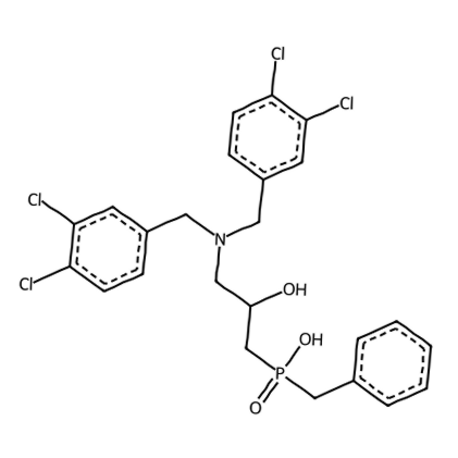 O=P(O)(Cc1ccccc1)CC(O)CN(Cc1ccc(Cl)c(Cl)c1)Cc1ccc(Cl)c(Cl)c1